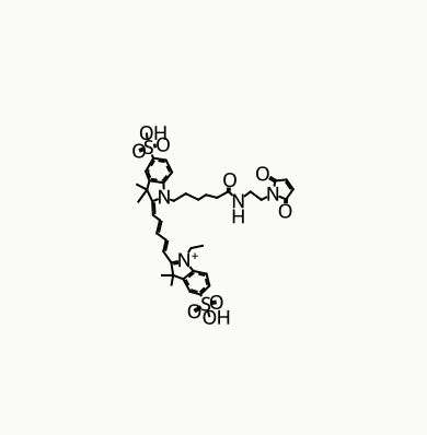 CC[N+]1=C(C=CC=CC=C2N(CCCCCC(=O)NCCN3C(=O)C=CC3=O)c3ccc(S(=O)(=O)O)cc3C2(C)C)C(C)(C)c2cc(S(=O)(=O)O)ccc21